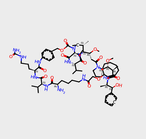 CC[C@H](C)[C@@H]([C@@H](CC(=O)N1CCC[C@H]1[C@H](OC)[C@@H](C)C(=O)N[C@H](C)[C@@H](O)c1ccccc1)OC)N(C)C(=O)[C@@H](NC(=O)[C@H](C(C)C)N(C)C(=O)OCc1ccc(NC(=O)[C@H](CCCNC(N)=O)NC(=O)[C@@H](NC(=O)[C@H](N)CCCCNC(=O)COC2C#CCCCCC2)C(C)C)cc1)C(C)C